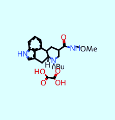 CCCCN1CC(C(=O)NCOC)CC2c3cccc4[nH]cc(c34)C[C@H]21.O=C(O)C(=O)O